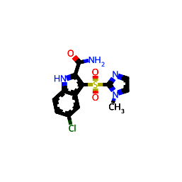 Cn1ccnc1S(=O)(=O)c1c(C(N)=O)[nH]c2ccc(Cl)cc12